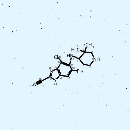 CC1(C)CNCCC1Nc1c(F)cc2sc(C#N)nc2c1Cl